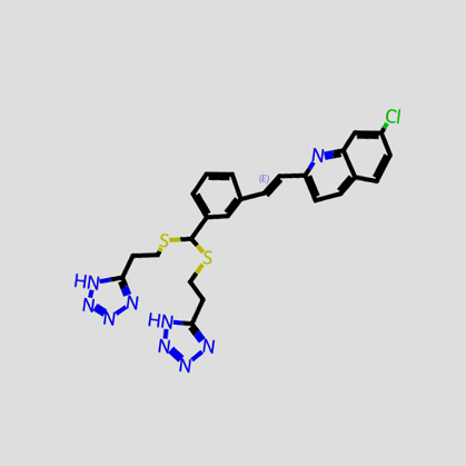 Clc1ccc2ccc(/C=C/c3cccc(C(SCCc4nnn[nH]4)SCCc4nnn[nH]4)c3)nc2c1